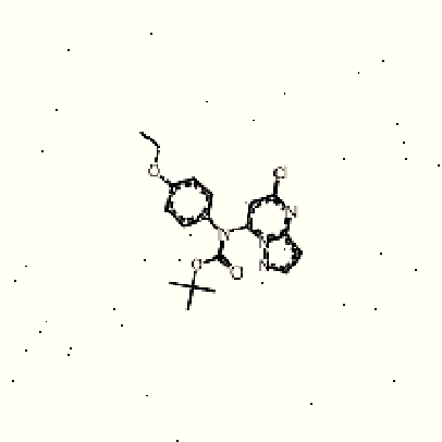 CCOc1ccc(N(C(=O)OC(C)(C)C)c2[c]c(Cl)nc3ccnn23)cc1